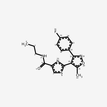 CCCNC(=O)c1csc(-c2c(-c3ccc(F)cc3)noc2C)n1